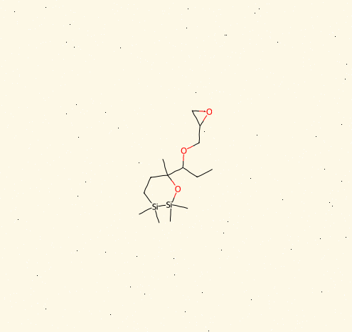 CCC(OCC1CO1)C1(C)CC[Si](C)(C)[Si](C)(C)O1